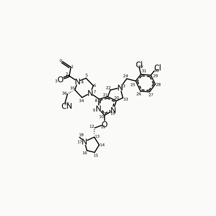 C=CC(=O)N1CCN(c2nc(OC[C@@H]3CCCN3C)nc3c2CN(Cc2cccc(Cl)c2Cl)C3)C[C@@H]1CC#N